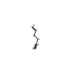 [CH]=CCCC#C